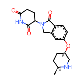 C[C@H]1CC[C@@H](Oc2ccc3c(c2)CN(C2CCC(=O)NC2=O)C3=O)CN1